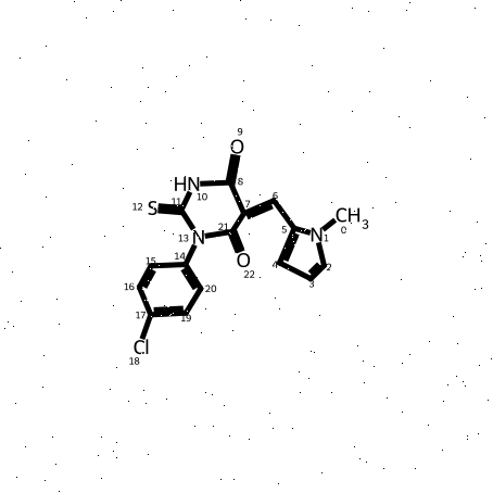 Cn1cccc1/C=C1/C(=O)NC(=S)N(c2ccc(Cl)cc2)C1=O